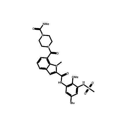 CNC(=O)N1CCN(C(=O)c2cccc3cc(C(=O)Nc4cc(C(C)(C)C)cc(NS(C)(=O)=O)c4OC)n(C)c23)CC1